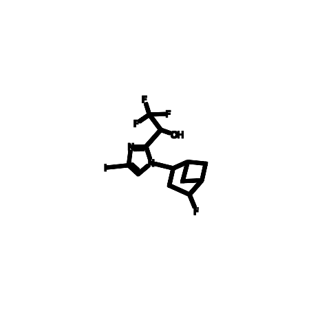 OC(c1nc(I)cn1C1CC(F)C2CC1C2)C(F)(F)F